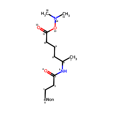 CCCCCCCCCCCC(=O)NC(C)CCCC(=O)ON(C)C